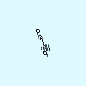 O=C(NCCCCN1CCC(Cc2ccccc2)CC1)Nc1cccc(I)c1